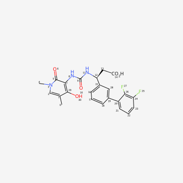 Cc1cn(C)c(=O)c(NC(=O)N[C@@H](CC(=O)O)c2cccc(-c3cccc(F)c3F)c2)c1O